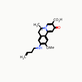 C=CCCNc1cc2c(cc1OC)-c1cc(=O)c(C(=O)O)cn1[C@H](C)C2